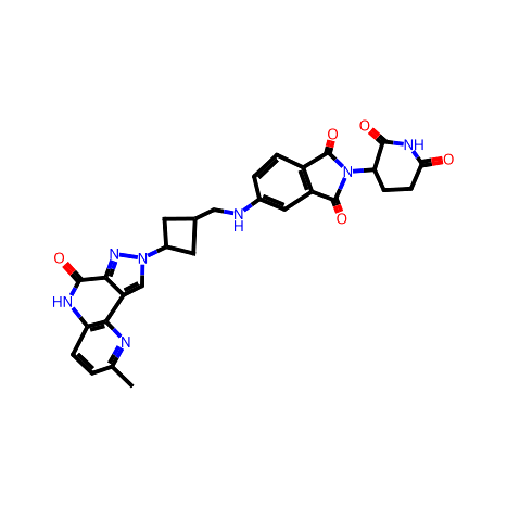 Cc1ccc2[nH]c(=O)c3nn(C4CC(CNc5ccc6c(c5)C(=O)N(C5CCC(=O)NC5=O)C6=O)C4)cc3c2n1